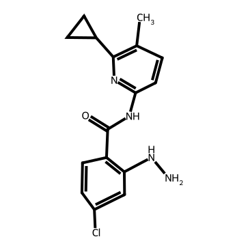 Cc1ccc(NC(=O)c2ccc(Cl)cc2NN)nc1C1CC1